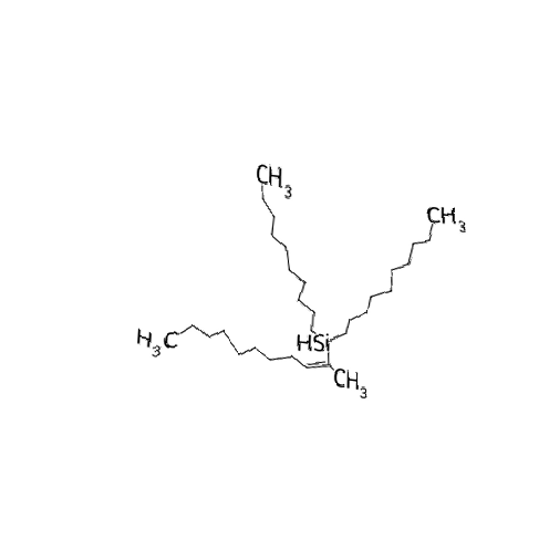 CCCCCCCCC=C(C)[SiH](CCCCCCCCCC)CCCCCCCCCC